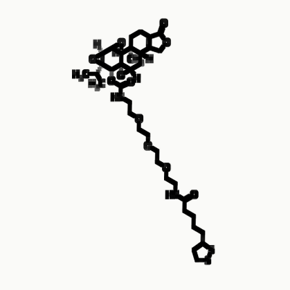 CC(C)[C@]12O[C@H]1[C@@H]1O[C@]13[C@]1(O[C@H]1C[C@H]1C4=C(CC[C@@]13C)C(=O)OC4)[C@@H]2OC(=O)NCCOCCOCCOCCNC(=O)CCCCC1CCSS1